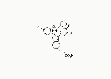 O=C(O)CCc1ccc(CC2(c3ccc(Cl)cc3OCC3CCCC3)Nc3cc(F)c(F)cc3N2)cc1